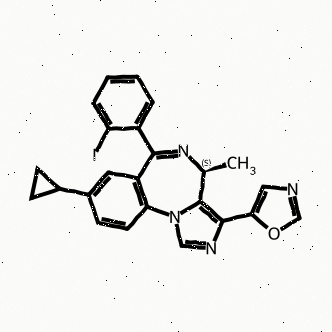 C[C@@H]1N=C(c2ccccc2I)c2cc(C3CC3)ccc2-n2cnc(-c3cnco3)c21